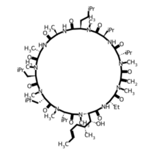 C=C1C(=O)N(C)[C@@H](C(C)C)C(=O)N[C@H](C(C)C)C(=O)N(C)[C@H](CCC(C)C)C(=O)N[C@H](C)C(=O)N[C@@H](C)C(=O)N(C)[C@H](CC(C)C)C(=O)N(C)[C@@H](CC(C)C)C(=O)N(C)[C@@H](C(C)C)C(=O)N(C)[C@@H]([C@H](O)[C@H](C)C/C=C/C)C(=O)N[C@@H](CC)C(=O)N1C